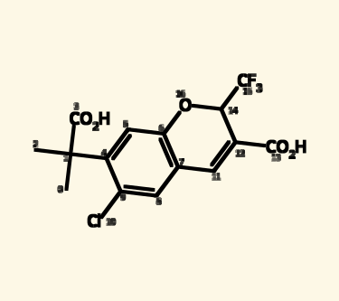 CC(C)(C(=O)O)c1cc2c(cc1Cl)C=C(C(=O)O)C(C(F)(F)F)O2